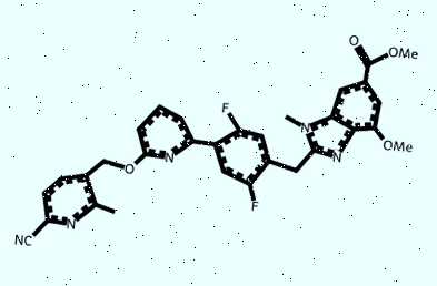 COC(=O)c1cc(OC)c2nc(Cc3cc(F)c(-c4cccc(OCc5ccc(C#N)nc5C)n4)cc3F)n(C)c2c1